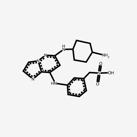 NC1CCC(Nc2cc(Nc3cccc(CS(=O)(=O)O)c3)c3nccn3n2)CC1